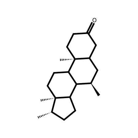 C[C@@H]1CC2CC(=O)CC[C@]2(C)C2CC[C@@]3(C)C(CC[C@@H]3C)C21